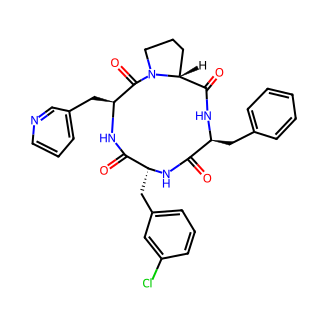 O=C1N[C@H](Cc2cccc(Cl)c2)C(=O)N[C@@H](Cc2cccnc2)C(=O)N2CCC[C@@H]2C(=O)N[C@H]1Cc1ccccc1